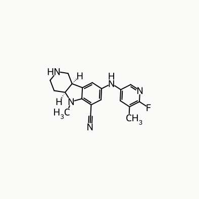 Cc1cc(Nc2cc(C#N)c3c(c2)[C@@H]2CNCC[C@@H]2N3C)cnc1F